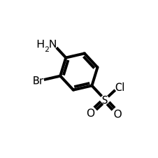 Nc1ccc(S(=O)(=O)Cl)cc1Br